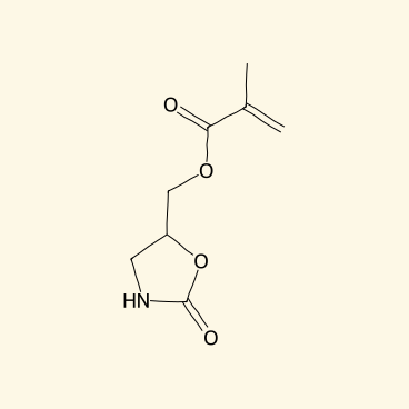 C=C(C)C(=O)OCC1CNC(=O)O1